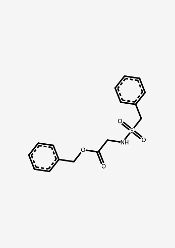 O=C(CNS(=O)(=O)Cc1ccccc1)OCc1ccccc1